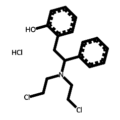 Cl.Oc1ccccc1CC(c1ccccc1)N(CCCl)CCCl